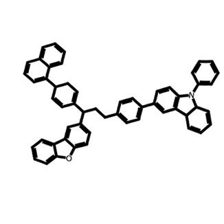 C1=CC2c3cc(-c4ccc(CCC(C5=CCC(c6cccc7ccccc67)C=C5)c5ccc6oc7ccccc7c6c5)cc4)ccc3N(c3ccccc3)C2C=C1